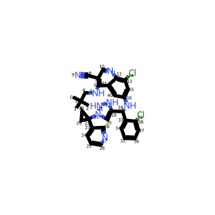 CC(C)(C)CNc1c(C#N)cnc2c(Cl)cc(NC(C3=CN(C4(c5cccnc5)CC4)NN3)c3ccccc3Cl)cc12